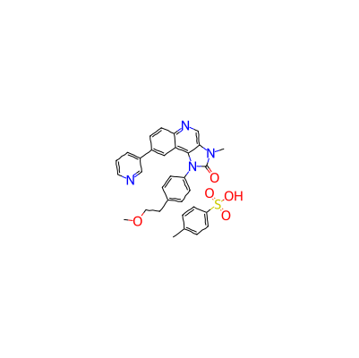 COCCc1ccc(-n2c(=O)n(C)c3cnc4ccc(-c5cccnc5)cc4c32)cc1.Cc1ccc(S(=O)(=O)O)cc1